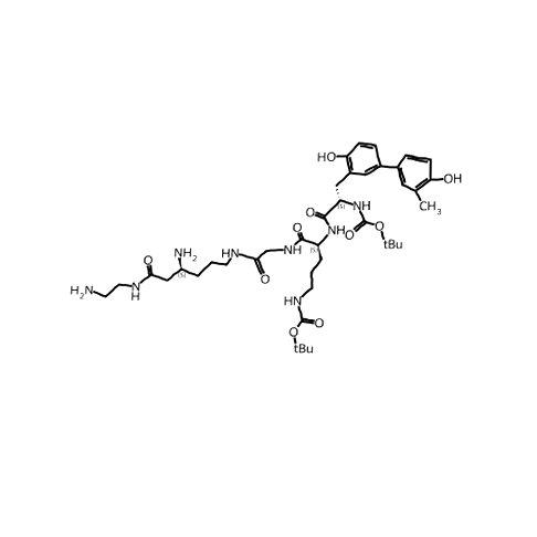 Cc1cc(-c2ccc(O)c(C[C@H](NC(=O)OC(C)(C)C)C(=O)N[C@@H](CCCNC(=O)OC(C)(C)C)C(=O)NCC(=O)NCCC[C@H](N)CC(=O)NCCN)c2)ccc1O